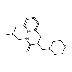 CN(C)CNC(=O)C(CN1CCOCC1)Sc1ccccn1